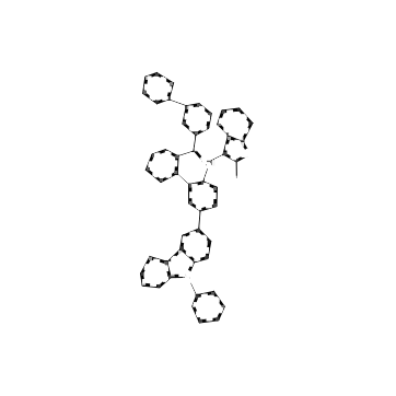 Cc1oc2ccccc2c1N=C(c1cccc(-c2ccccc2)c1)c1ccccc1-c1cc(-c2ccc3c(c2)c2ccccc2n3-c2ccccc2)ccc1N